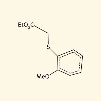 CCOC(=O)CSc1ccccc1OC